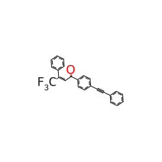 O=C(/C=C(\c1ccccc1)C(F)(F)F)c1ccc(C#Cc2ccccc2)cc1